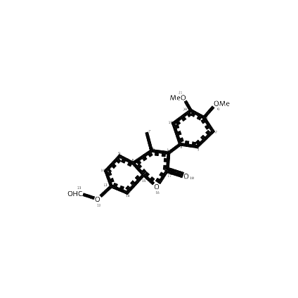 COc1ccc(-c2c(C)c3ccc(OC=O)cc3oc2=O)cc1OC